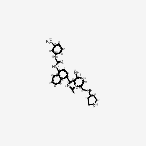 Cc1nc(-c2ccc(NC(=O)Nc3cccc(C(F)(F)F)c3)c3ccccc23)c2c(N)ncc(CNC3CCNCC3)n12